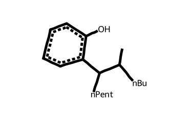 CCCCCC(c1ccccc1O)C(C)CCCC